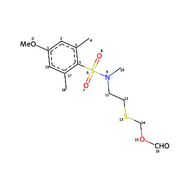 COc1cc(C)c(S(=O)(=O)N(C)CCSCOC=O)c(C)c1